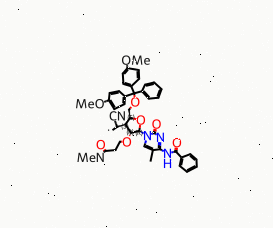 [CH2]C(C#N)[C@@H]1[C@@H](OCCC(=O)NC)[C@H](n2cc(C)c(NC(=O)c3ccccc3)nc2=O)O[C@@H]1COC(c1ccccc1)(c1ccc(OC)cc1)c1ccc(OC)cc1